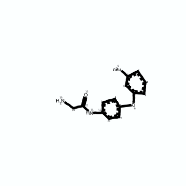 CCCCc1cccc(Oc2ccc(NC(=O)CN)cc2)c1